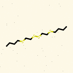 CCCCSCCSSCCSCCCC